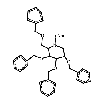 CCCCCCCCCN1CC(OCc2ccccc2)C(OCc2ccccc2)C(OCc2ccccc2)C1COCc1ccccc1